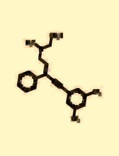 CN(C/C=C(/C#Cc1cc(C(F)(F)F)cc(C(F)(F)F)c1)c1ccccc1)CC(=O)O